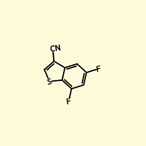 N#Cc1csc2c(F)cc(F)cc12